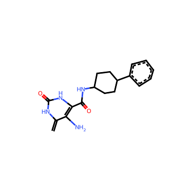 C=C1NC(=O)NC(C(=O)NC2CCC(c3ccccc3)CC2)=C1N